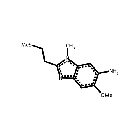 COc1cc2nc(CCSC)n(C)c2cc1N